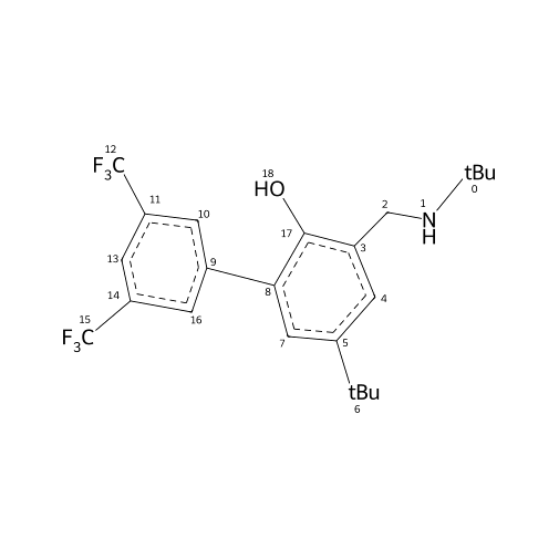 CC(C)(C)NCc1cc(C(C)(C)C)cc(-c2cc(C(F)(F)F)cc(C(F)(F)F)c2)c1O